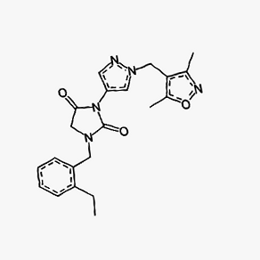 CCc1ccccc1CN1CC(=O)N(c2cnn(Cc3c(C)noc3C)c2)C1=O